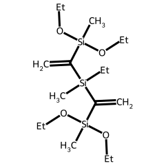 C=C([Si](C)(OCC)OCC)[Si](C)(CC)C(=C)[Si](C)(OCC)OCC